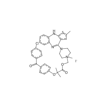 Cc1cc2c(s1)Nc1ccccc1N=C2N1CC[N+](C)(COC(=O)C(C)(C)Oc2ccc(C(=O)c3ccc(Cl)cc3)cc2)CC1.[I-]